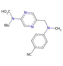 CN(Cc1cnc(N(C(=O)O)C(C)(C)C)cn1)c1ccc(C#N)cc1